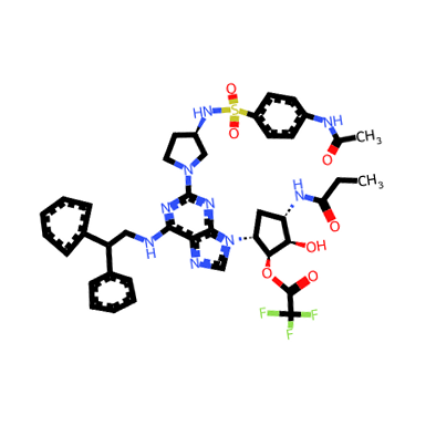 CCC(=O)N[C@H]1C[C@@H](n2cnc3c(NCC(c4ccccc4)c4ccccc4)nc(N4CC[C@@H](NS(=O)(=O)c5ccc(NC(C)=O)cc5)C4)nc32)[C@H](OC(=O)C(F)(F)F)[C@@H]1O